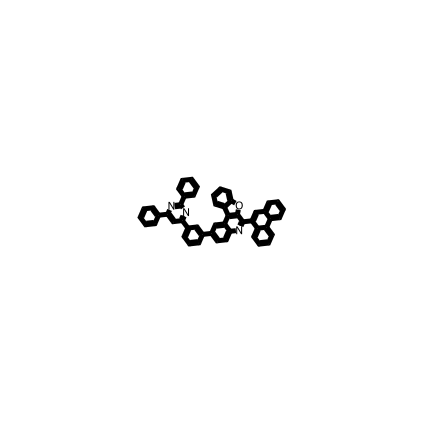 c1ccc(-c2cc(-c3cccc(-c4ccc5nc(-c6cc7ccccc7c7ccccc67)c6oc7ccccc7c6c5c4)c3)nc(-c3ccccc3)n2)cc1